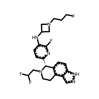 FCCCN1CC(Nc2ccc([C@@H]3c4ccc5[nH]ncc5c4CCN3CC(F)F)nc2F)C1